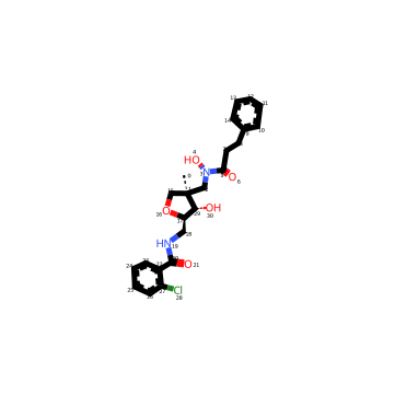 C[C@@]1(CN(O)C(=O)CCc2ccccc2)CO[C@H](CNC(=O)c2ccccc2Cl)[C@H]1O